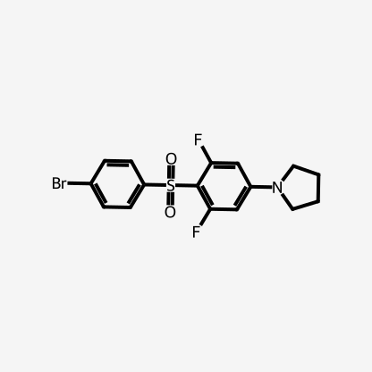 O=S(=O)(c1ccc(Br)cc1)c1c(F)cc(N2CCCC2)cc1F